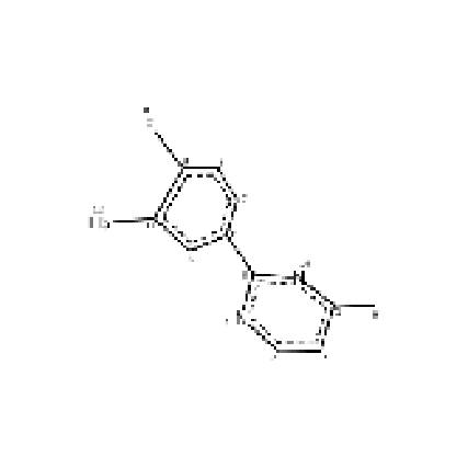 Cc1ccnc(-c2ccc(F)c(S)c2)n1